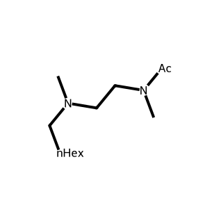 CCCCCCCN(C)CCN(C)C(C)=O